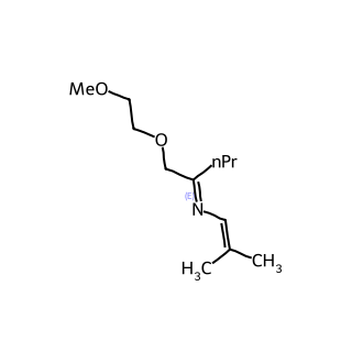 CCC/C(COCCOC)=N\C=C(C)C